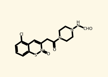 O=CNN1CCN(C(=O)Cc2cc3c(Cl)cccc3s[n+]2=O)CC1